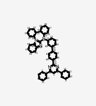 c1ccc(-c2cc(-c3ccccc3)nc(-c3ccc(-c4cccc(N5c6ccccc6-c6ccccc6-n6c5nc5ccccc56)c4)cc3)n2)cc1